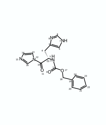 O=C(N[C@@H](Cc1c[nH]cn1)C(=O)n1ccnc1)OCc1ccccc1